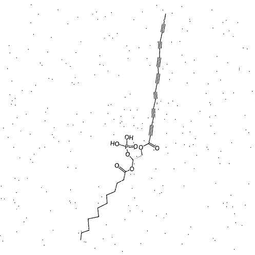 CC#CC#CC#CC#CC#CC#CC#CC(=O)OC[C@H](OC(=O)CCCCCCCCCCC)OP(=O)(O)O